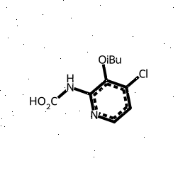 CC(C)COc1c(Cl)ccnc1NC(=O)O